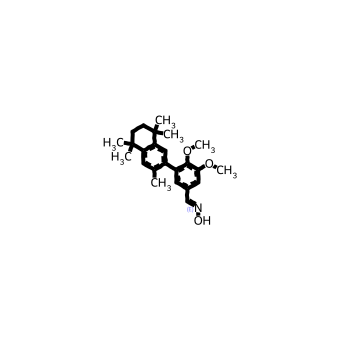 COc1cc(/C=N/O)cc(-c2cc3c(cc2C)C(C)(C)CCC3(C)C)c1OC